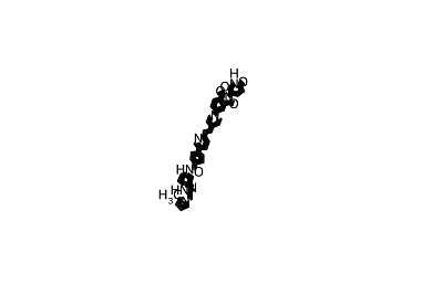 C[C@H]1CCCN1Cc1nc2cc(NC(=O)c3ccc(-c4ccc(CCC5CCN(c6ccc7c(c6)C(=O)N(C6CCC(=O)NC6=O)C7=O)CC5)nc4)cc3)ccc2[nH]1